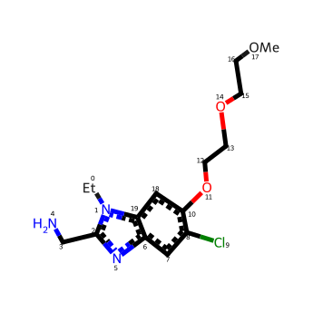 CCn1c(CN)nc2cc(Cl)c(OCCOCCOC)cc21